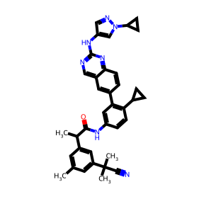 Cc1cc(C(C)C(=O)Nc2ccc(C3CC3)c(-c3ccc4nc(Nc5cnn(C6CC6)c5)ncc4c3)c2)cc(C(C)(C)C#N)c1